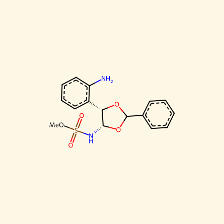 COS(=O)(=O)N[C@H]1OC(c2ccccc2)O[C@H]1c1ccccc1N